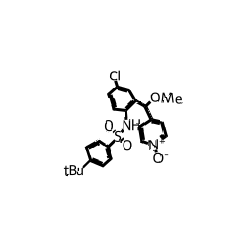 COC(c1cc[n+]([O-])cc1)c1cc(Cl)ccc1NS(=O)(=O)c1ccc(C(C)(C)C)cc1